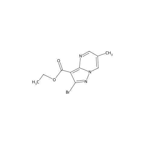 CCOC(=O)c1c(Br)nn2cc(C)cnc12